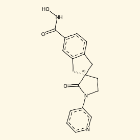 O=C(NO)c1ccc2c(c1)C[C@@]1(CCN(c3cccnc3)C1=O)C2